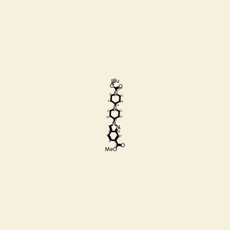 COC(=O)c1ccc2cn(C3CCN(C4CCN(C(=O)OC(C)(C)C)CC4)CC3)nc2c1